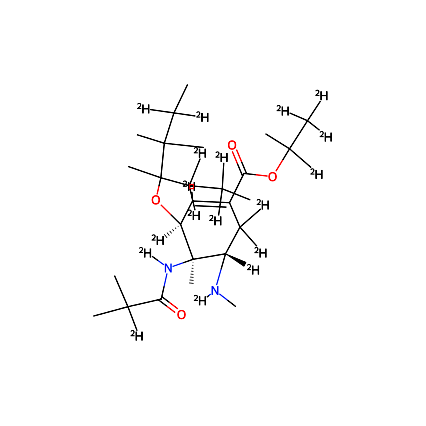 [2H]C1=C(C(=O)OC([2H])(C)C([2H])([2H])[2H])C([2H])([2H])[C@]([2H])(N([2H])C)[C@@](C)(N([2H])C(=O)C([2H])(C)C)[C@@]1([2H])OC(C)(C([2H])([2H])C([2H])([2H])C)C(C)(C)C([2H])([2H])C